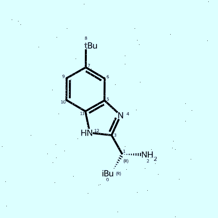 CC[C@@H](C)[C@@H](N)c1nc2cc(C(C)(C)C)ccc2[nH]1